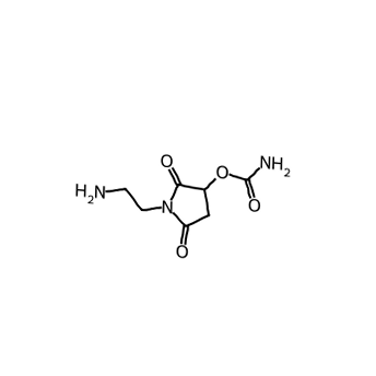 NCCN1C(=O)CC(OC(N)=O)C1=O